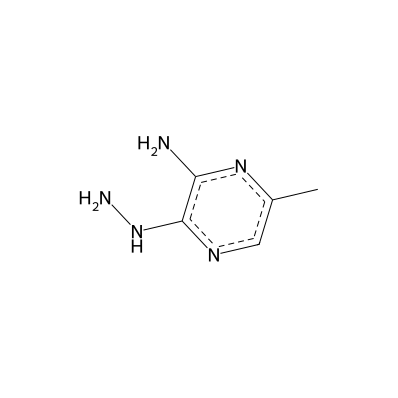 Cc1cnc(NN)c(N)n1